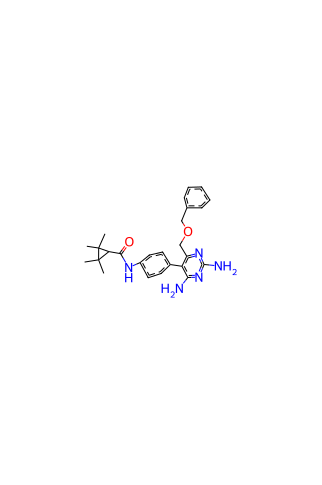 CC1(C)C(C(=O)Nc2ccc(-c3c(N)nc(N)nc3COCc3ccccc3)cc2)C1(C)C